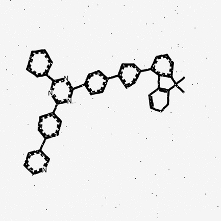 CC1(C)C2=C(C=CCC2)c2c(-c3ccc(-c4ccc(-c5nc(-c6ccccc6)nc(-c6ccc(-c7cccnc7)cc6)n5)cc4)cc3)cccc21